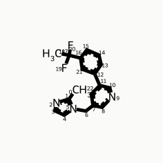 Cc1nccn1Cc1cncc(-c2cccc(C(C)(F)F)c2)c1